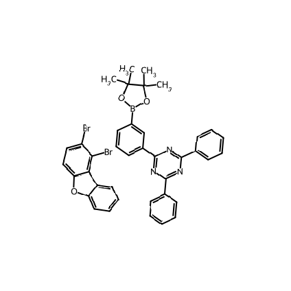 Brc1ccc2oc3ccccc3c2c1Br.CC1(C)OB(c2cccc(-c3nc(-c4ccccc4)nc(-c4ccccc4)n3)c2)OC1(C)C